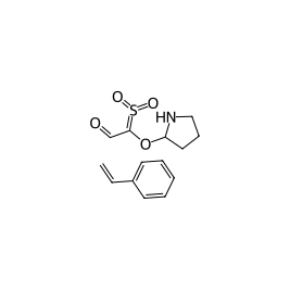 C=Cc1ccccc1.O=CC(OC1CCCN1)=S(=O)=O